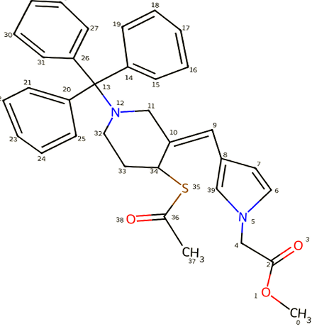 COC(=O)Cn1ccc(/C=C2/CN(C(c3ccccc3)(c3ccccc3)c3ccccc3)CCC2SC(C)=O)c1